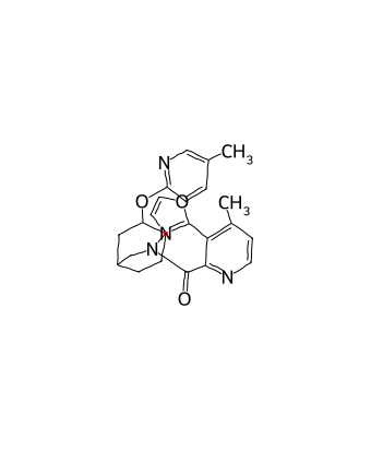 Cc1ccc(OC2CC3CCC2N(C(=O)c2nccc(C)c2-c2ncco2)C3)nc1